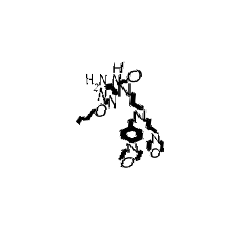 CCCCOc1nc(N)c2[nH]c(=O)n(CCCN(CCCN3CCOCC3)Cc3ccc(N4CCOCC4)cc3)c2n1